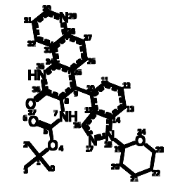 CC(C)(C)OC(=O)Nc1c(-c2cccc3c2cnn3C2CCCCO2)c2ccc3ncccc3c2[nH]c1=O